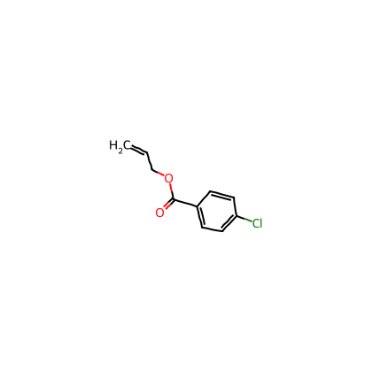 C=CCOC(=O)c1ccc(Cl)cc1